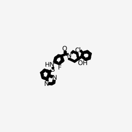 O=C(c1ccc(NSc2cccc3nccnc23)c(F)c1)N1CCC(O)(c2ccccc2Cl)CC1